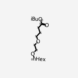 CCCCCCOCCOCCCC(=O)OCC(C)C